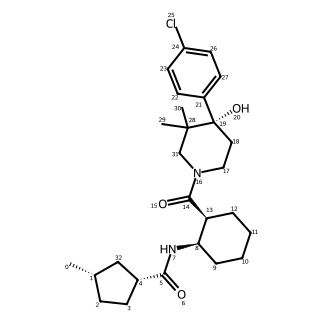 C[C@H]1CC[C@@H](C(=O)N[C@@H]2CCCC[C@@H]2C(=O)N2CC[C@](O)(c3ccc(Cl)cc3)C(C)(C)C2)C1